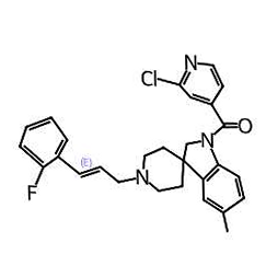 Cc1ccc2c(c1)C1(CCN(C/C=C/c3ccccc3F)CC1)CN2C(=O)c1ccnc(Cl)c1